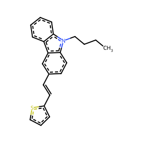 CCCCn1c2ccccc2c2cc(/C=C/c3cccs3)ccc21